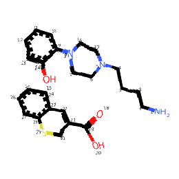 NCCCCN1CCN(c2ccccc2O)CC1.O=C(O)C1=Cc2ccccc2SC1